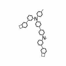 Cc1ccc(N(c2ccc(-c3ccc(N(C)c4cccc(-c5ccc6c(c5)CC6)c4)cc3)cc2)c2cccc(-c3ccc4c(c3)CC4)c2)cc1